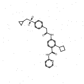 O=C(Cc1ccc(S(=O)(=O)CC2CC2)cc1)Nc1ccc(C(=O)Nc2ccccn2)c(C2CCC2)c1